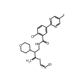 C=C(S/C=N\CC)C(CNC(=O)c1cc(-c2ncc(F)cn2)ccc1Cl)N1CCOCC1